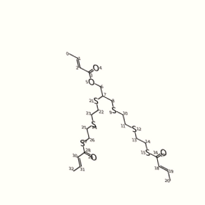 CC=CC(=O)OCC(CSCCSCCSC(=O)C=CC)SCCSCCSC(=O)C=CC